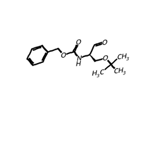 CC(C)(C)OC[C@H](C=O)NC(=O)OCc1ccccc1